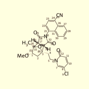 CO[C@H]1C[C@@]2(CCn3cc(Cl)ccc3=O)O[C@]1(C)[C@@H]1C(=O)N(c3ccc(C#N)c4ccccc34)C(=O)[C@@H]12